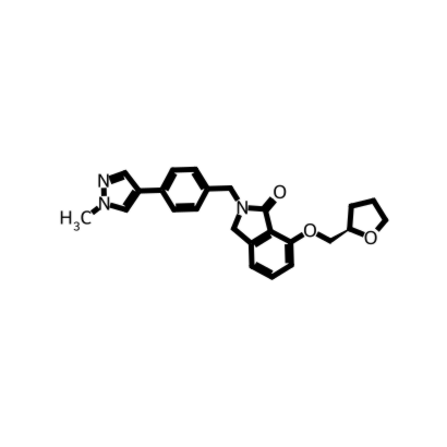 Cn1cc(-c2ccc(CN3Cc4cccc(OC[C@H]5CCCO5)c4C3=O)cc2)cn1